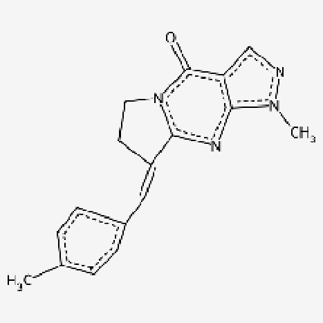 Cc1ccc(/C=C2\CCn3c2nc2c(cnn2C)c3=O)cc1